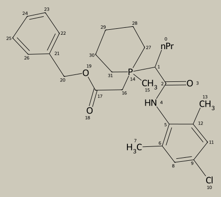 CCCC(C(=O)Nc1c(C)cc(Cl)cc1C)P1(C)(CC(=O)OCc2ccccc2)CCCCC1